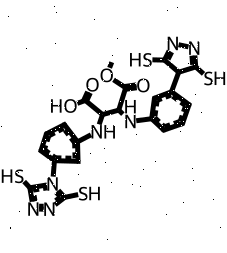 COC(=O)C(Nc1cccc(C2C(S)=NN=C2S)c1)C(Nc1cccc(-n2c(S)nnc2S)c1)C(=O)O